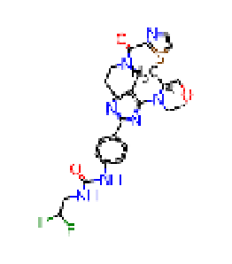 C[C@H]1COCCN1c1nc(-c2ccc(NC(=O)NCC(F)F)cc2)nc2c1CN(C(=O)c1nccs1)CC2